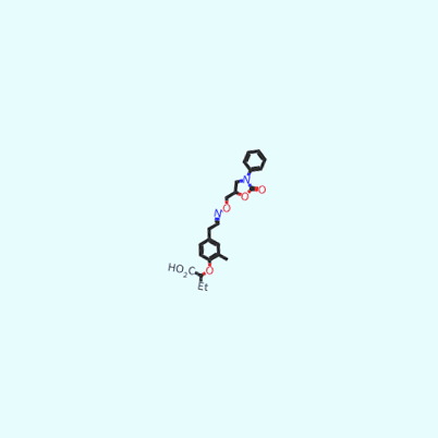 CCC(Oc1ccc(CC=NOCC2CN(c3ccccc3)C(=O)O2)cc1C)C(=O)O